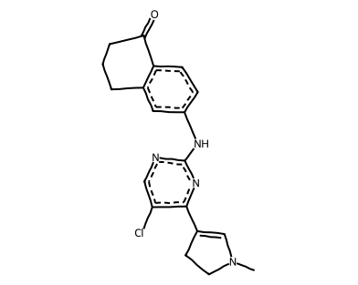 CN1C=C(c2nc(Nc3ccc4c(c3)CCCC4=O)ncc2Cl)CC1